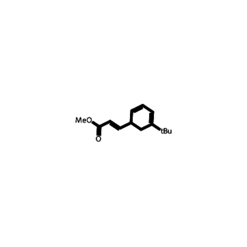 COC(=O)C=CC1C=CC=C(C(C)(C)C)C1